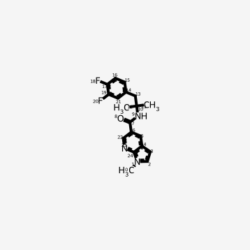 Cn1ccc2cc(C(=O)NC(C)(C)Cc3ccc(F)c(F)c3)cnc21